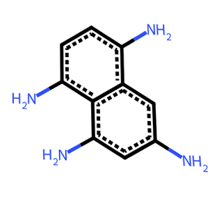 Nc1cc(N)c2c(N)ccc(N)c2c1